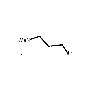 C[N]CCCC(C)C